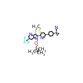 CCSc1cc(-c2ccc(C3(C#N)CC3)cc2)cnc1-c1c(F)c2ncc(C(F)(F)F)cc2n1COCC[Si](C)(C)C